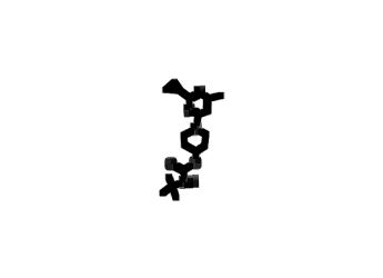 Cc1cc(N2CCC(OC(=O)NC(C)(C)C)CC2)nc(C2CC2)n1